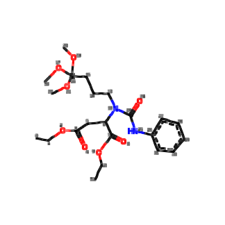 CCOC(=O)CC(C(=O)OCC)N(CCC[Si](OC)(OC)OC)C(=O)Nc1ccccc1